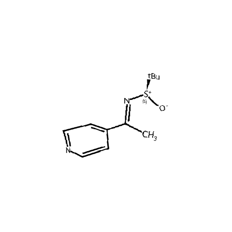 CC(=N[S@+]([O-])C(C)(C)C)c1ccncc1